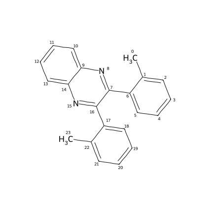 Cc1ccccc1-c1nc2ccccc2nc1-c1ccccc1C